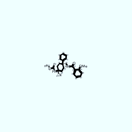 CCCOC(=O)N[C@]1(C#N)CC[C@@](CNC(=O)c2ccccc2OC)(c2ccccc2)CC1